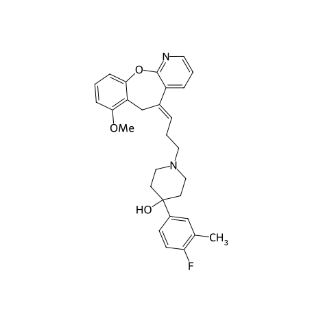 COc1cccc2c1CC(=CCCN1CCC(O)(c3ccc(F)c(C)c3)CC1)c1cccnc1O2